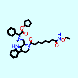 CCONC(=O)CCCCCCC(=O)N1CCc2c([nH]c3ccccc23)C1CN(C)[C@H](C(=O)OC1CCCC1)c1ccccc1